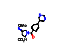 CON=C1C[C@@H](C(=O)O)N(C(=O)c2ccc(-c3cncnc3)cc2)C1